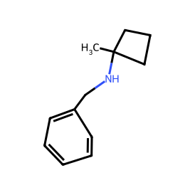 CC1(NCc2ccccc2)CCC1